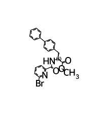 COC(=O)[C@H](Cc1ccc(-c2ccccc2)cc1)NC(=O)c1cccc(Br)n1